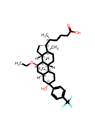 CCO[C@@H]1C[C@@H]2C[C@](O)(c3ccc(C(F)(F)F)cc3)CC[C@]2(C)[C@H]2CC[C@]3(C)[C@@H]([C@H](C)CCCC(=O)O)CC[C@H]3[C@H]12